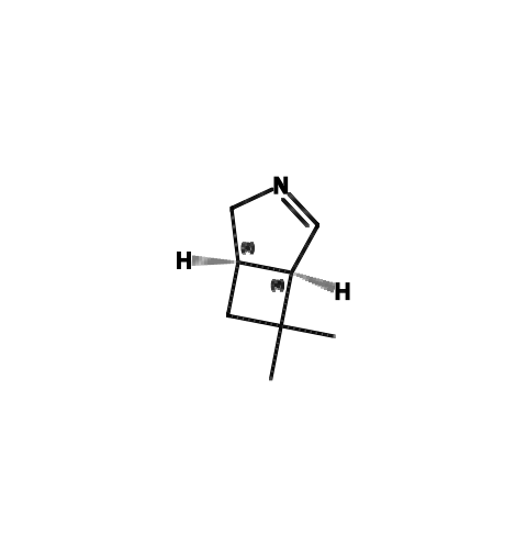 CC1(C)C[C@H]2CN=C[C@H]21